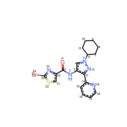 O=C(Nc1cn(C2CCCCC2)nc1-c1ccccn1)c1csc(Br)n1